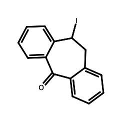 O=C1c2ccccc2CC(I)c2ccccc21